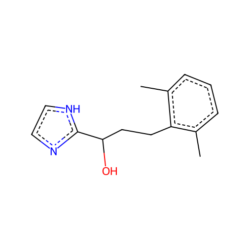 Cc1cccc(C)c1CCC(O)c1ncc[nH]1